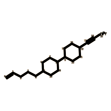 C=CCCCC1CCC(C2CCC(C#CCCC)CC2)CC1